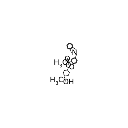 CC(O)C1CCC(COc2ccc(CN3Cc4ccccc4C3)cc2S(C)(=O)=O)CC1